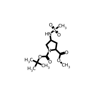 COC(=O)C1CC(NS(C)(=O)=O)CN1C(=O)OC(C)(C)C